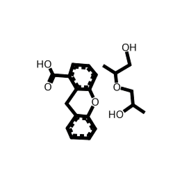 CC(O)COC(C)CO.O=C(O)c1cccc2c1Cc1ccccc1O2